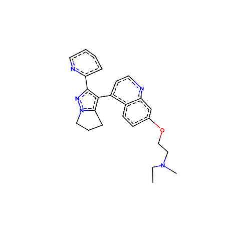 CCN(C)CCOc1ccc2c(-c3c(-c4ccccn4)nn4c3CCC4)ccnc2c1